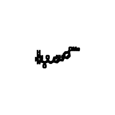 COc1ccc(Cc2cc(CC(=O)C(=O)c3nn[nH]n3)c[nH]2)cc1